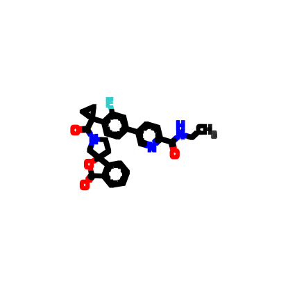 CCNC(=O)c1ccc(-c2ccc(C3(C(=O)N4CCC5(C4)OC(=O)c4ccccc45)CC3)c(F)c2)cn1